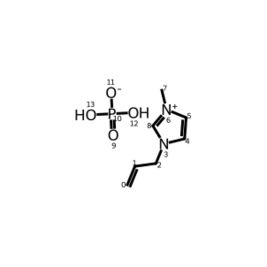 C=CCn1cc[n+](C)c1.O=P([O-])(O)O